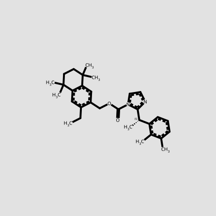 CCc1cc2c(cc1COC(=O)n1ccnc1[C@@H](C)c1cccc(C)c1C)C(C)(C)CCC2(C)C